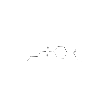 NC(=O)C1CCN(S(=O)(=O)CCCCl)CC1